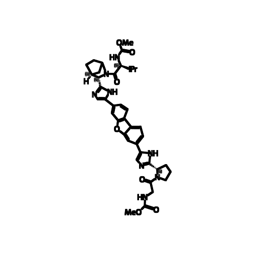 COC(=O)NCC(=O)N1CCC[C@H]1c1ncc(-c2ccc3c(c2)oc2cc(-c4cnc([C@@H]5[C@H]6CCC(C6)N5C(=O)[C@@H](NC(=O)OC)C(C)C)[nH]4)ccc23)[nH]1